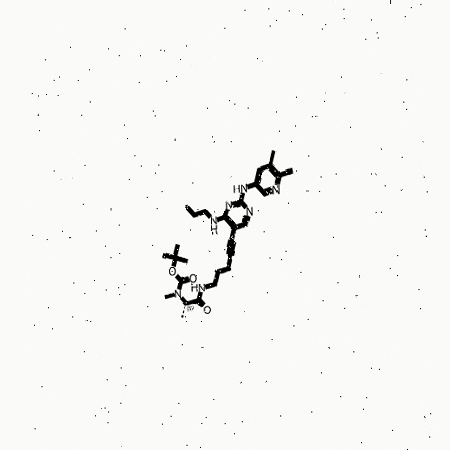 CCCNc1nc(Nc2cnc(C)c(C)c2)ncc1C#CCCCNC(=O)[C@H](C)N(C)C(=O)OC(C)(C)C